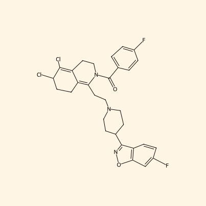 O=C(c1ccc(F)cc1)N1CCC2=C(Cl)C(Cl)CCC2=C1CCN1CCC(c2noc3cc(F)ccc23)CC1